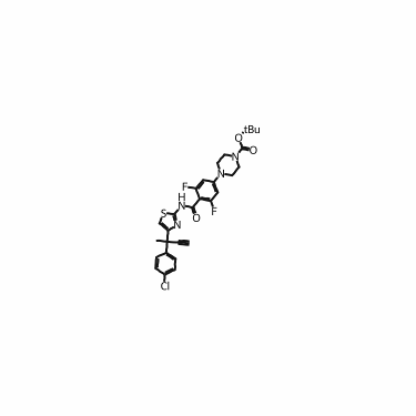 C#CC(C)(c1ccc(Cl)cc1)c1csc(NC(=O)c2c(F)cc(N3CCN(C(=O)OC(C)(C)C)CC3)cc2F)n1